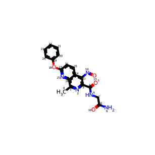 Cc1nc(C(=O)NCC(N)=O)c(N=O)c2ccc(Oc3ccccc3)nc12